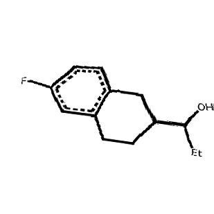 CCC(O)C1CCc2cc(F)ccc2C1